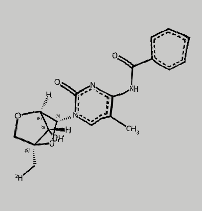 [2H]C[C@@]12CO[C@@H]([C@H](n3cc(C)c(NC(=O)c4ccccc4)nc3=O)O1)[C@@H]2O